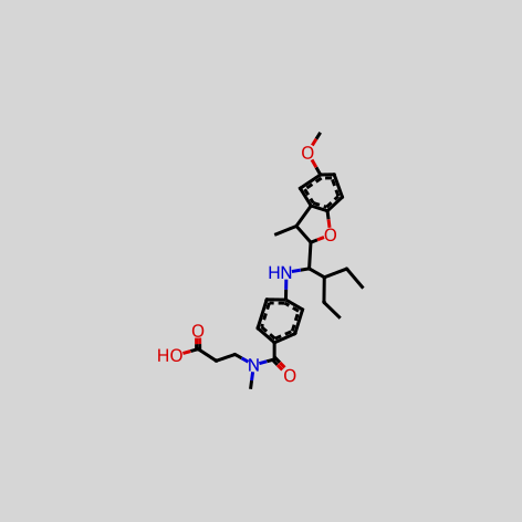 CCC(CC)C(Nc1ccc(C(=O)N(C)CCC(=O)O)cc1)C1Oc2ccc(OC)cc2C1C